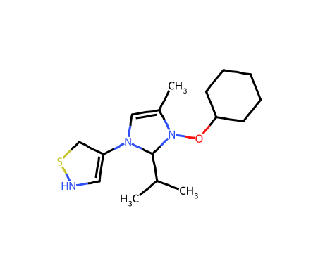 CC1=CN(C2=CNSC2)C(C(C)C)N1OC1CCCCC1